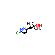 CC(C)(O)C#Cc1ccc(Cl)nn1